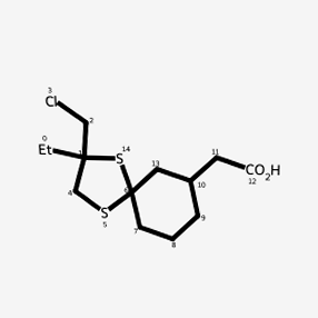 CCC1(CCl)CSC2(CCCC(CC(=O)O)C2)S1